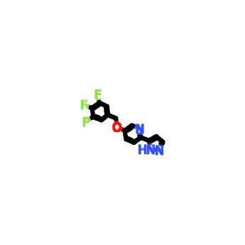 Fc1cc(COc2ccc(-c3ccn[nH]3)nc2)cc(F)c1F